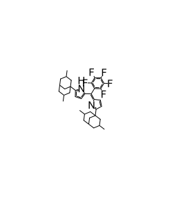 CC1CC2CC(C)CC(C3=N/C(=C(\c4ccc(C56CC(C)CC(CC(C)C5)C6)[nH]4)c4c(F)c(F)c(F)c(F)c4F)C=C3)(C1)C2